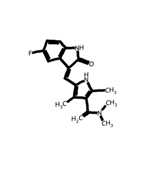 C=C(c1c(C)[nH]c(/C=C2\C(=O)Nc3ccc(F)cc32)c1C)N(C)C